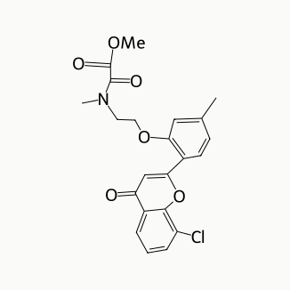 COC(=O)C(=O)N(C)CCOc1cc(C)ccc1-c1cc(=O)c2cccc(Cl)c2o1